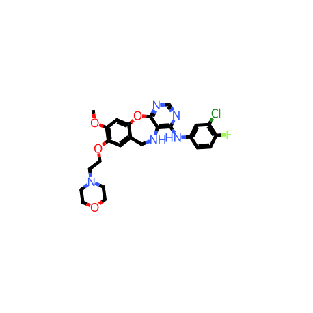 COc1cc2c(cc1OCCN1CCOCC1)CNc1c(Nc3ccc(F)c(Cl)c3)ncnc1O2